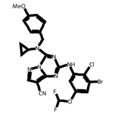 COc1ccc(CN(c2nc(Nc3cc(OC(F)F)cc(Br)c3Cl)nc3c(C#N)cnn23)C2CC2)cc1